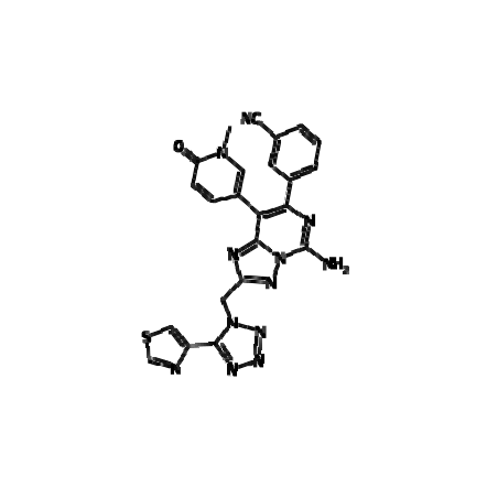 Cn1cc(-c2c(-c3cccc(C#N)c3)nc(N)n3nc(Cn4nnnc4-c4cscn4)nc23)ccc1=O